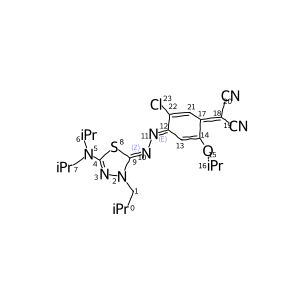 CC(C)Cn1nc(N(C(C)C)C(C)C)s/c1=N\N=C1/C=C(OC(C)C)C(=C(C#N)C#N)C=C1Cl